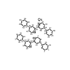 [Os].c1ccc(-c2ccnc(-c3cc(-c4ccccc4)ccn3)c2)cc1.c1ccc(-c2ccnc(-c3cc(-c4ccccc4)ccn3)c2)cc1